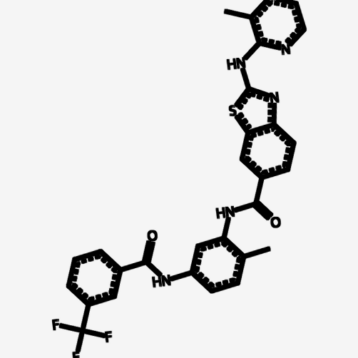 Cc1ccc(NC(=O)c2cccc(C(F)(F)F)c2)cc1NC(=O)c1ccc2nc(Nc3ncccc3C)sc2c1